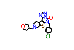 O=c1n(Cc2ccc(Cl)cc2)c2sc3c(c2c2ncnn12)CCN(CC1CCOCC1)C3